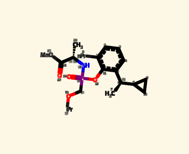 CCCc1cccc([C@H](C)C2CC2)c1OP(=O)(COC(C)C)N[C@@H](C)C(=O)OC